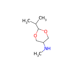 CNC1COC(C(C)C)OC1